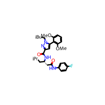 CCC(C)Cn1nc(C(=O)N[C@H](CC(=O)Nc2ccc(F)cc2)CC(C)C)cc1-c1c(OC)cccc1OC